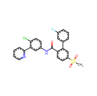 CS(=O)(=O)c1ccc(C(=O)Nc2ccc(Cl)c(-c3ccccn3)c2)c(-c2cccc(F)c2)c1